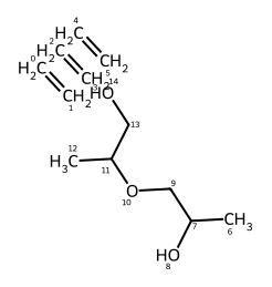 C=C.C=C.C=C.CC(O)COC(C)CO